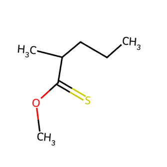 CCCC(C)C(=S)OC